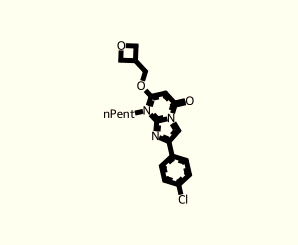 CCCCCn1c(OCC2COC2)cc(=O)n2cc(-c3ccc(Cl)cc3)nc12